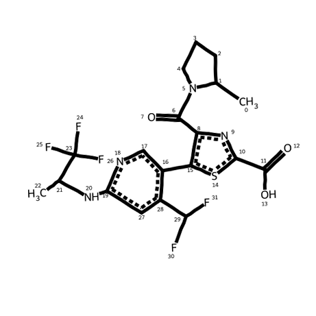 CC1CCCN1C(=O)c1nc(C(=O)O)sc1-c1cnc(NC(C)C(F)(F)F)cc1C(F)F